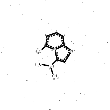 Cc1cccc2ncc([SH](C)C)n12